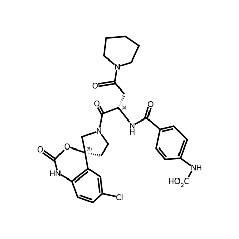 O=C(O)Nc1ccc(C(=O)N[C@@H](CC(=O)N2CCCCC2)C(=O)N2CC[C@@]3(C2)OC(=O)Nc2ccc(Cl)cc23)cc1